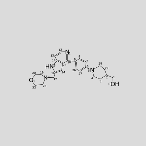 OCC1CCN(c2ccc(-c3nccc4[nH]c(CN5CCOCC5)cc34)cc2)CC1